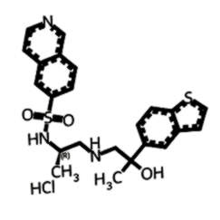 C[C@H](CNCC(C)(O)c1ccc2sccc2c1)NS(=O)(=O)c1ccc2cnccc2c1.Cl